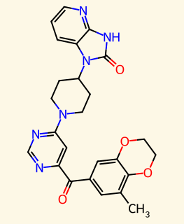 Cc1cc(C(=O)c2cc(N3CCC(n4c(=O)[nH]c5ncccc54)CC3)ncn2)cc2c1OCCO2